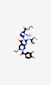 CNC(=O)c1ncc(-n2c(NC(C)C)nc3c(c2=O)C[C@@H](C)N(C(=O)c2ccc(Cl)c(Cl)c2)C3)n1C